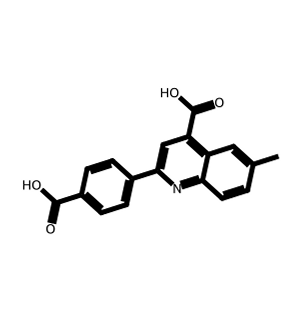 Cc1ccc2nc(-c3ccc(C(=O)O)cc3)cc(C(=O)O)c2c1